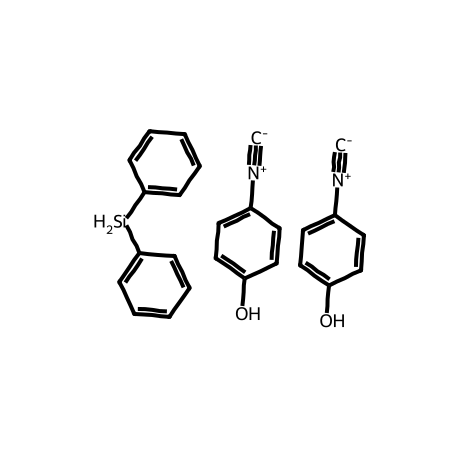 [C-]#[N+]c1ccc(O)cc1.[C-]#[N+]c1ccc(O)cc1.c1ccc([SiH2]c2ccccc2)cc1